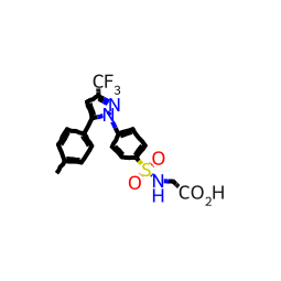 Cc1ccc(-c2cc(C(F)(F)F)nn2-c2ccc(S(=O)(=O)NCC(=O)O)cc2)cc1